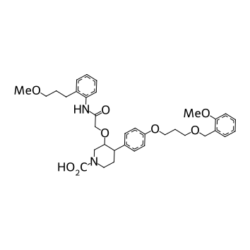 COCCCc1ccccc1NC(=O)COC1CN(C(=O)O)CCC1c1ccc(OCCCOCc2ccccc2OC)cc1